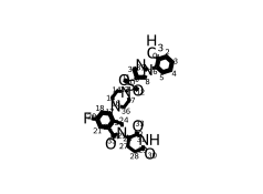 Cc1ccccc1-n1cc(S(=O)(=O)N2CCN(c3cc(F)cc4c3CN(C3CCC(=O)NC3=O)C4=O)CC2)cn1